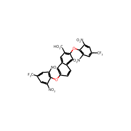 O=C(O)c1cc2cc(Oc3c([N+](=O)[O-])cc(C(F)(F)F)cc3[N+](=O)[O-])ccc2cc1Oc1c([N+](=O)[O-])cc(C(F)(F)F)cc1[N+](=O)[O-]